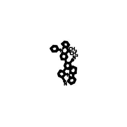 CC1(C)c2ccccc2N(c2ccccc2)c2ccc(-c3cc(-c4cccc(C#N)c4-n4c5ccccc5c5ccccc54)ccc3C#N)cc21